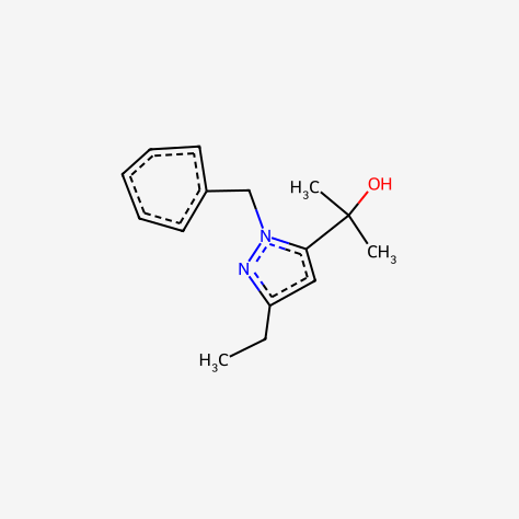 CCc1cc(C(C)(C)O)n(Cc2ccccc2)n1